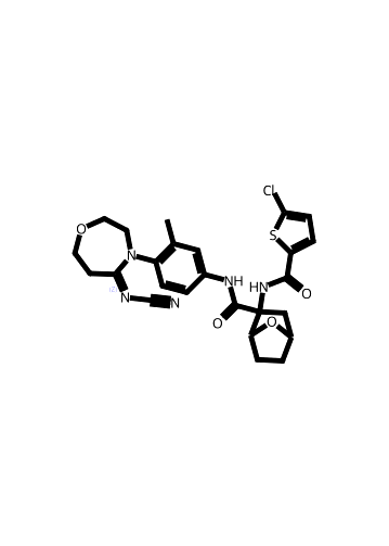 Cc1cc(NC(=O)C2(NC(=O)c3ccc(Cl)s3)CC3CCC2O3)ccc1N1CCOCC/C1=N/C#N